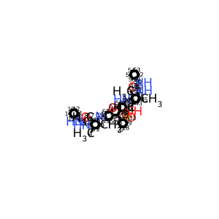 Cc1cc(C)c(NC(=O)Nc2ccccc2)c(C)c1/N=c1\ccc2c(-c3ccccc3S(=O)(=O)O)c3ccc(Nc4c(C)cc(C)c(NC(=O)Nc5ccccc5)c4C)cc3oc-2c1